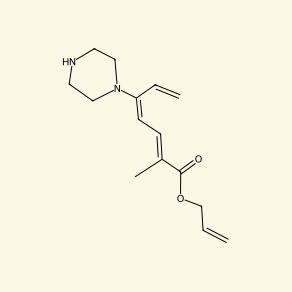 C=CCOC(=O)/C(C)=C/C=C(\C=C)N1CCNCC1